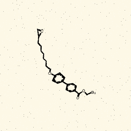 CCC(C)COC(=O)c1ccc(-c2ccc(OCCCCCCCCC3CO3)cc2)cc1